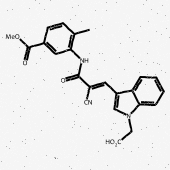 COC(=O)c1ccc(C)c(NC(=O)/C(C#N)=C/c2cn(CC(=O)O)c3ccccc23)c1